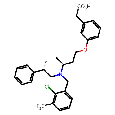 C[C@H](CN(Cc1cccc(C(F)(F)F)c1Cl)[C@@H](C)CCOc1cccc(CC(=O)O)c1)c1ccccc1